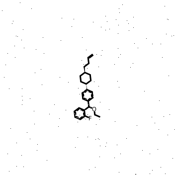 C=CCC[C@H]1CC[C@H](c2ccc(C(OCC)c3ccccc3F)cc2)CC1